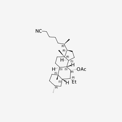 CC[C@H]1[C@@H](OC(C)=O)[C@@H]2[C@H](CC[C@]3(C)[C@@H]([C@H](C)CCCCC#N)CC[C@@H]23)[C@@]2(C)CC[C@@H](C)C[C@@H]12